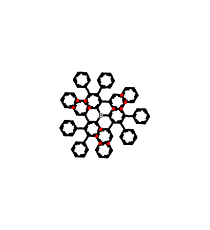 c1ccc(-c2cc(B(c3cc(-c4ccccc4)c(-c4ccccc4)c(-c4ccccc4)c3-c3ccccc3)c3cc(-c4ccccc4)c(-c4ccccc4)c(-c4ccccc4)c3-c3ccccc3)c(-c3ccccc3)c(-c3ccccc3)c2-c2ccccc2)cc1